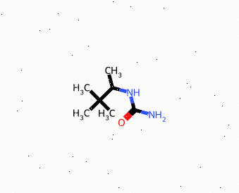 CC(NC(N)=O)C(C)(C)C